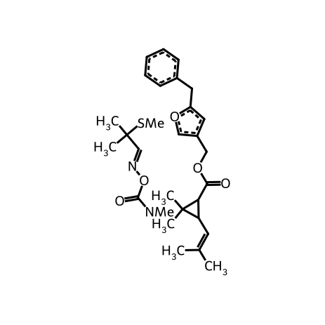 CC(C)=CC1C(C(=O)OCc2coc(Cc3ccccc3)c2)C1(C)C.CNC(=O)O/N=C/C(C)(C)SC